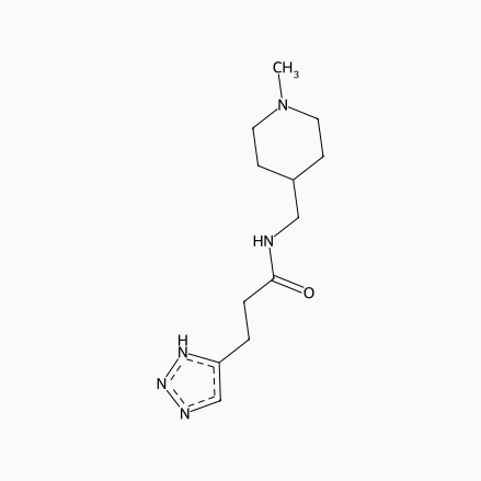 CN1CCC(CNC(=O)CCc2cnn[nH]2)CC1